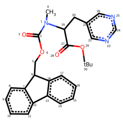 CN(C(=O)OCC1c2ccccc2-c2ccccc21)C(Cc1cncnc1)C(=O)OC(C)(C)C